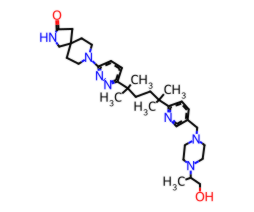 CC(CO)N1CCN(Cc2ccc(C(C)(C)CCC(C)(C)c3ccc(N4CCC5(CC4)CNC(=O)C5)nn3)nc2)CC1